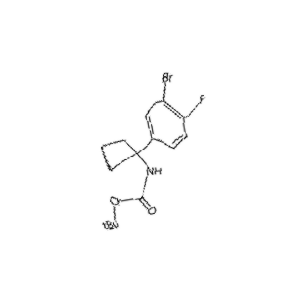 CC(C)(C)OC(=O)NC1(c2ccc(F)c(Br)c2)CCC1